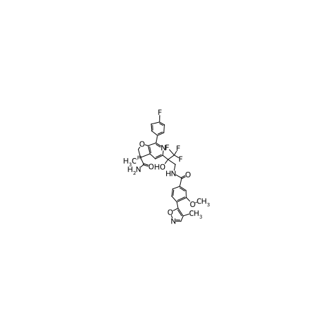 COc1cc(C(=O)NCC(O)(c2cc3c(c(-c4ccc(F)cc4)n2)OC[C@]3(C)C(N)=O)C(F)(F)F)ccc1-c1oncc1C